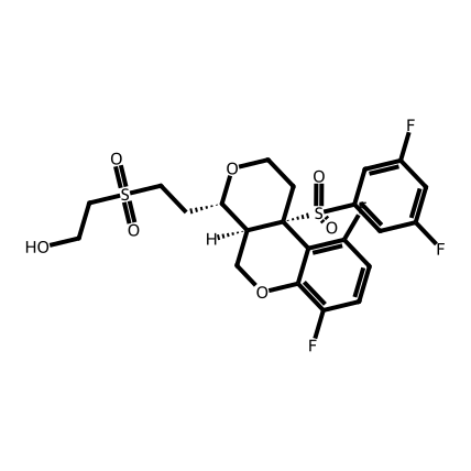 O=S(=O)(CCO)CC[C@@H]1OCC[C@@]2(S(=O)(=O)c3cc(F)cc(F)c3)c3c(F)ccc(F)c3OC[C@@H]12